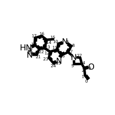 C=CC(=O)C1CN(c2cncc3c(-c4c(C)ccc5[nH]ncc45)ccnc23)C1